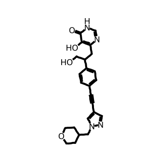 O=c1[nH]cnc(CC(CO)c2ccc(C#Cc3cnn(CC4CCOCC4)c3)cc2)c1O